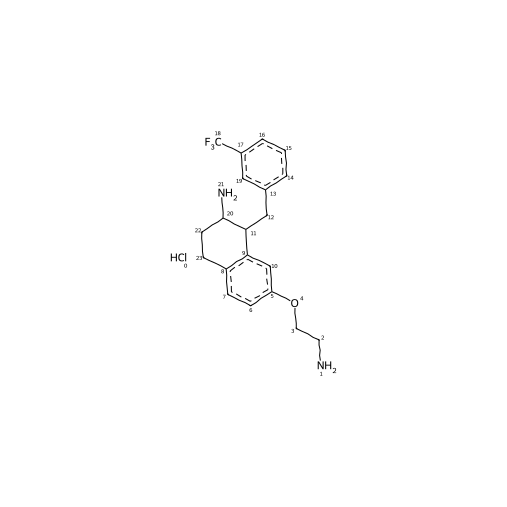 Cl.NCCOc1ccc2c(c1)C(Cc1cccc(C(F)(F)F)c1)C(N)CC2